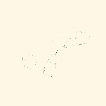 Cc1cccnc1C1CCC[C@H](c2cn3c(N4CCN(C)CC4)cccc3n2)N1